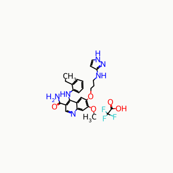 CCc1ccccc1Nc1c(C(N)=O)cnc2cc(OC)c(OCCCNc3cc[nH]n3)cc12.O=C(O)C(F)(F)F